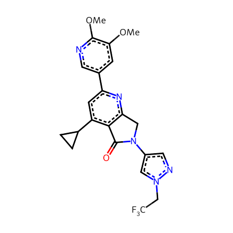 COc1cc(-c2cc(C3CC3)c3c(n2)CN(c2cnn(CC(F)(F)F)c2)C3=O)cnc1OC